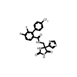 O=C1NC(=O)C(CNC(=O)c2ccc(F)c(F)c2-c2ccc(C(F)(F)F)cc2)(c2cscn2)N1